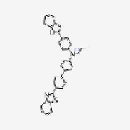 C/C=C/N(c1ccc(-c2ccc(-c3nc4ccccc4s3)cc2)cc1)c1ccc(-c2cc3ccccc3o2)cc1